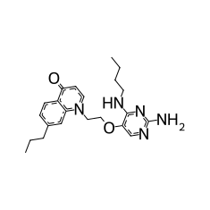 CCCCNc1nc(N)ncc1OCCn1ccc(=O)c2ccc(CCC)cc21